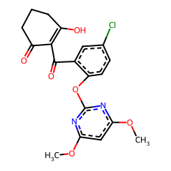 COc1cc(OC)nc(Oc2ccc(Cl)cc2C(=O)C2=C(O)CCCC2=O)n1